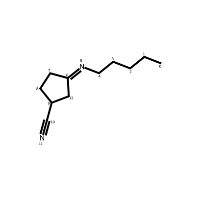 CCCCCN=C1CCC(C#N)C1